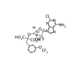 Nc1nc(Cl)nc2c1ncn2[C@@H]1O[C@@H]2C(OC(Cc3cccc(OC(F)(F)F)c3)(C(=O)O)C(=O)O)[C@]2(O)[C@@H]1F